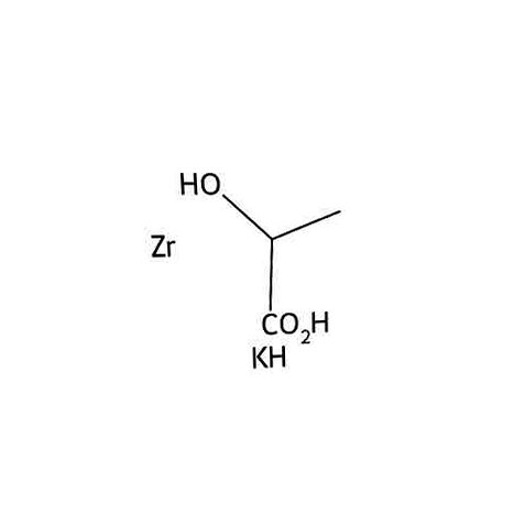 CC(O)C(=O)O.[KH].[Zr]